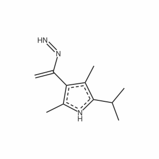 C=C(N=N)c1c(C)[nH]c(C(C)C)c1C